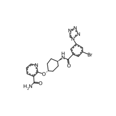 NC(=O)c1cccnc1O[C@H]1CC[C@H](NC(=O)c2cc(Br)cc(-n3cnnn3)c2)CC1